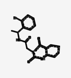 CC(NC(=O)Cn1c(=O)[nH]c2ccccc2c1=O)c1ccccc1Br